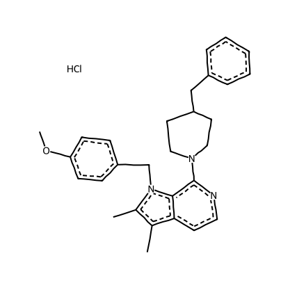 COc1ccc(Cn2c(C)c(C)c3ccnc(N4CCC(Cc5ccccc5)CC4)c32)cc1.Cl